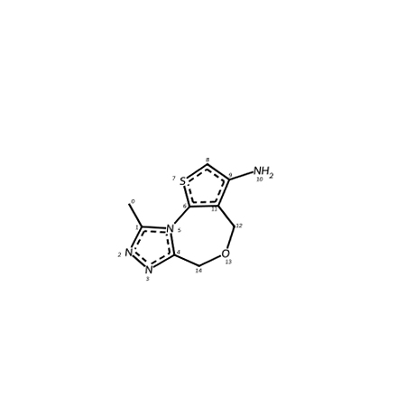 Cc1nnc2n1-c1scc(N)c1COC2